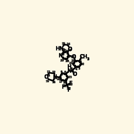 Cc1ccc(C(=O)Nc2cc(N3CCOCC3)cc(C(F)(F)F)c2)cc1Oc1ccnc2c1OCCN2